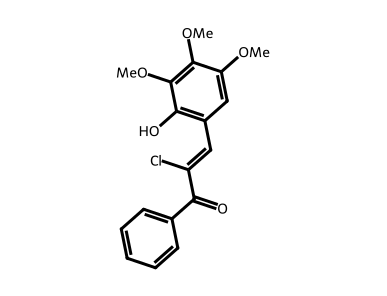 COc1cc(C=C(Cl)C(=O)c2ccccc2)c(O)c(OC)c1OC